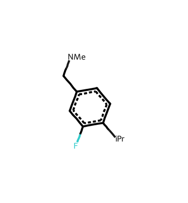 CNCc1ccc(C(C)C)c(F)c1